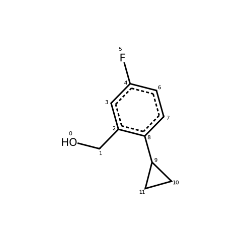 OCc1cc(F)ccc1C1CC1